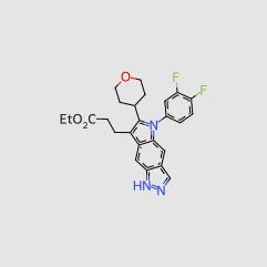 CCOC(=O)CCc1c(C2CCOCC2)n(-c2ccc(F)c(F)c2)c2cc3cn[nH]c3cc12